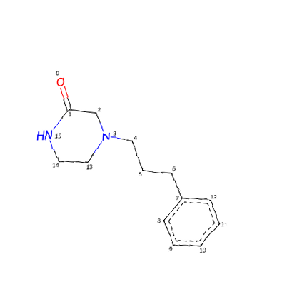 O=C1CN(CCCc2ccccc2)CCN1